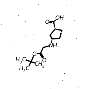 CC(C)(C)OC(=O)CN[C@@H]1CC[C@H](C(=O)O)C1